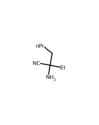 CCCCC(N)(C#N)CC